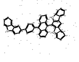 c1ccc2c(c1)oc1ccc(-c3ccc(-c4c5ccccc5c(-c5c6oc7ccccc7c6cc6c5oc5ccccc56)c5ccccc45)cc3)cc12